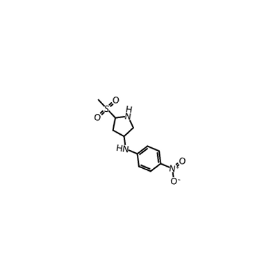 CS(=O)(=O)C1CC(Nc2ccc([N+](=O)[O-])cc2)CN1